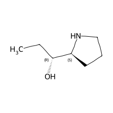 CC[C@@H](O)[C@@H]1CCCN1